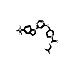 CS(=O)(=O)c1ccc2c(c1)CCN2c1cc(OC2CCN(C(=O)OCC(F)F)CC2)ncn1